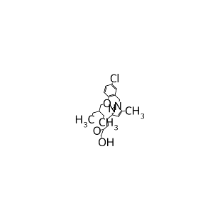 CCC(CC)COc1ccc(Cl)cc1Cn1nc(CCC2OC2O)cc1C